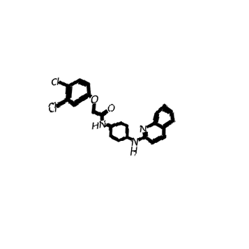 O=C(COc1ccc(Cl)c(Cl)c1)NC1CCC(Nc2ccc3ccccc3n2)CC1